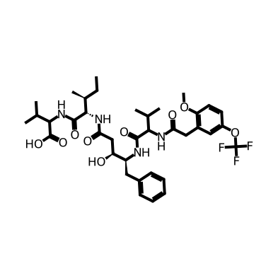 CC[C@H](C)[C@H](NC(=O)C[C@H](O)[C@H](Cc1ccccc1)NC(=O)C(NC(=O)Cc1cc(OC(F)(F)F)ccc1OC)C(C)C)C(=O)NC(C(=O)O)C(C)C